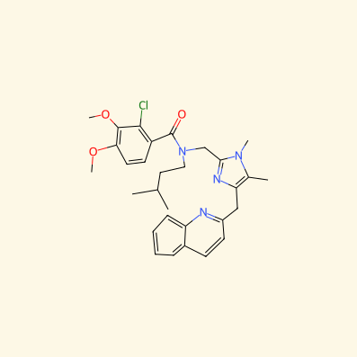 COc1ccc(C(=O)N(CCC(C)C)Cc2nc(Cc3ccc4ccccc4n3)c(C)n2C)c(Cl)c1OC